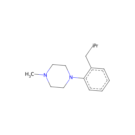 CC(C)Cc1ccccc1N1CCN(C)CC1